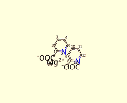 O=C([O-])c1ccccn1.O=C([O-])c1ccccn1.[Mg+2]